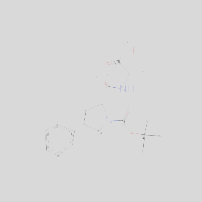 C[C@H](NC(=O)[C@H]1C[C@@H](c2ccccc2)CN1C(=O)OC(C)(C)C)C(=O)O